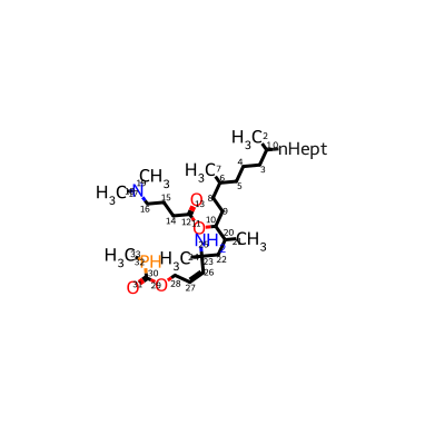 CCCCCCCC(C)CCCC(C)CCC(OC(=O)CCCN(C)C)C(C)CC(C)(N)/C=C\COC(=O)PC